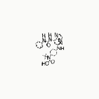 CC(C)(C)N(C(=O)O)[C@H]1CC[C@H](Nc2cc(NC(=O)Nc3ccccc3)c3nccn3n2)CC1